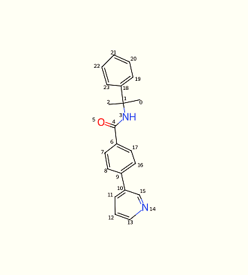 CC(C)(NC(=O)c1ccc(-c2cccnc2)cc1)c1ccccc1